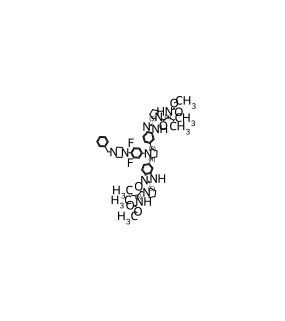 COC(=O)N[C@H](C(=O)N1CCC[C@H]1c1nc2ccc([C@H]3CC[C@H](c4ccc5nc([C@@H]6CCCN6C(=O)[C@@H](NC(=O)OC)C(C)C)[nH]c5c4)N3c3cc(F)c(N4CCN(Cc5ccccc5)CC4)c(F)c3)cc2[nH]1)C(C)C